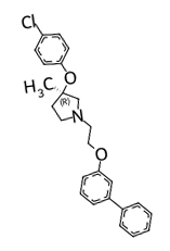 C[C@@]1(Oc2ccc(Cl)cc2)CCN(CCOc2cccc(-c3ccccc3)c2)C1